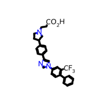 O=C(O)CCN1CCC(c2ccc(-c3cn(-c4ccc(-c5ccccc5)c(C(F)(F)F)c4)cn3)cc2)C1